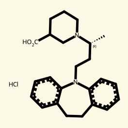 C[C@H](CCN1c2ccccc2CCc2ccccc21)N1CCCC(C(=O)O)C1.Cl